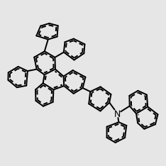 c1ccc(-c2cc(-c3ccccc3)c3c4ccccc4c4cc(-c5ccc(N(c6ccccc6)c6cccc7ccccc67)cc5)ccc4c3c2-c2ccccc2)cc1